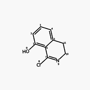 Oc1cccc2c1C(Cl)=NCC2